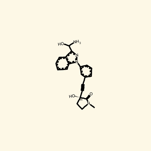 CN1CC[C@@](O)(C#Cc2cccc(-n3nc(C(N)O)c4ccccc43)c2)C1=O